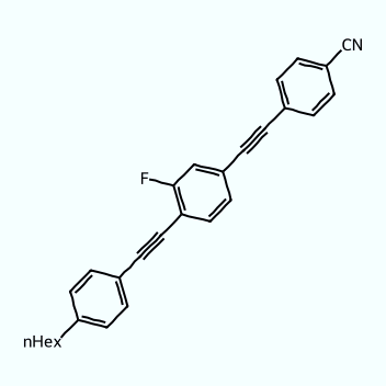 CCCCCCc1ccc(C#Cc2ccc(C#Cc3ccc(C#N)cc3)cc2F)cc1